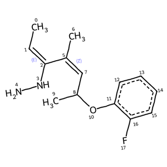 C/C=C(NN)\C(C)=C/C(C)Oc1ccccc1F